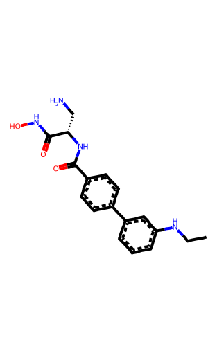 CCNc1cccc(-c2ccc(C(=O)N[C@@H](CN)C(=O)NO)cc2)c1